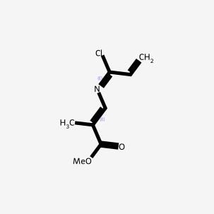 C=C/C(Cl)=N\C=C(/C)C(=O)OC